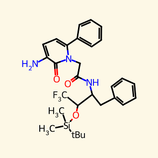 CC(C)(C)[Si](C)(C)OC(C(Cc1ccccc1)NC(=O)Cn1c(-c2ccccc2)ccc(N)c1=O)C(F)(F)F